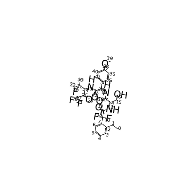 CCc1ccccc1C(F)(F)C(=O)NC(CO)C(=O)NC(C(=O)NC(C(=O)C(F)(F)F)C(C)C)c1ccc(OC)cc1